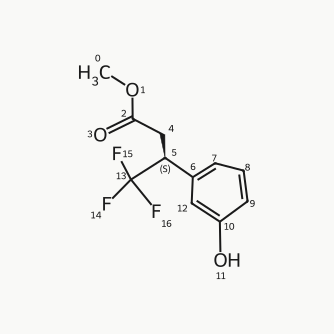 COC(=O)C[C@@H](c1cccc(O)c1)C(F)(F)F